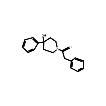 O=C(Cc1ccccc1)N1CCC(O)(c2ccccc2)CC1